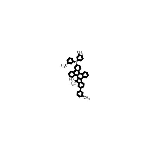 Cc1cccc(-c2ccc3c(c2)C(C)(C)c2c-3c3ccccc3c3c4ccc(N(c5cccc(C)c5)c5cccc(C)c5)cc4c4ccccc4c23)c1